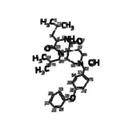 CC(C)CC1NC(=O)C2(CCN(Cc3ccc(Oc4ccccc4)cc3)CC2)N(CC(C)C)C1=O.Cl